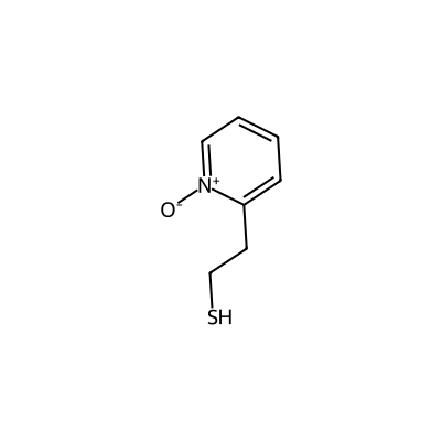 [O-][n+]1ccccc1CCS